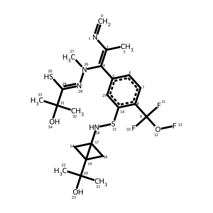 C=N/C(C)=C(/c1ccc(C(F)(F)OF)c(SNC23CC2(C(C)(C)O)C3)c1)N(C)/N=C(\S)C(C)(C)O